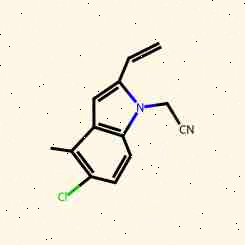 C=Cc1cc2c(C)c(Cl)ccc2n1CC#N